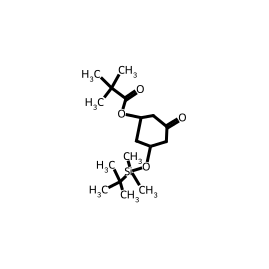 CC(C)(C)C(=O)OC1CC(=O)CC(O[Si](C)(C)C(C)(C)C)C1